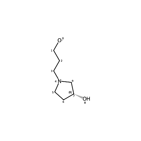 [O]CCCN1CC[C@@H](O)C1